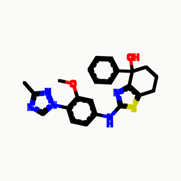 COc1cc(Nc2nc3c(s2)CCCC3(O)c2ccccc2)ccc1-n1cnc(C)n1